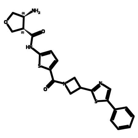 N[C@H]1COC[C@H]1C(=O)Nc1ccc(C(=O)N2CC(c3ncc(-c4ccccc4)s3)C2)s1